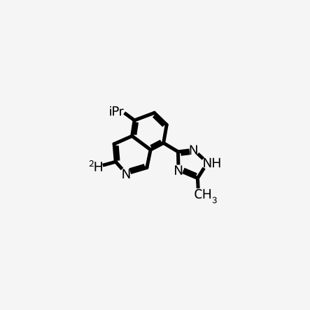 [2H]c1cc2c(C(C)C)ccc(-c3n[nH]c(C)n3)c2cn1